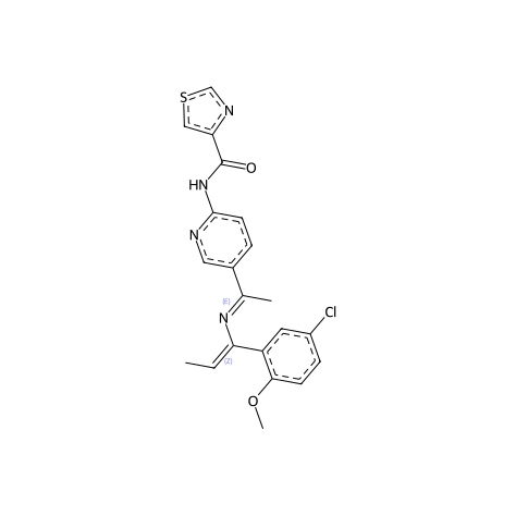 C/C=C(\N=C(/C)c1ccc(NC(=O)c2cscn2)nc1)c1cc(Cl)ccc1OC